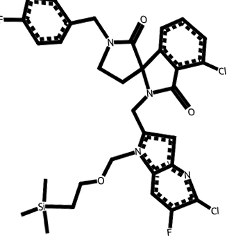 C[Si](C)(C)CCOCn1c(CN2C(=O)c3c(Cl)cccc3C23CCN(Cc2ccc(F)cc2)C3=O)cc2nc(Cl)c(F)cc21